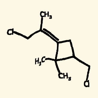 CC(CCl)=C1CC(CCl)C1(C)C